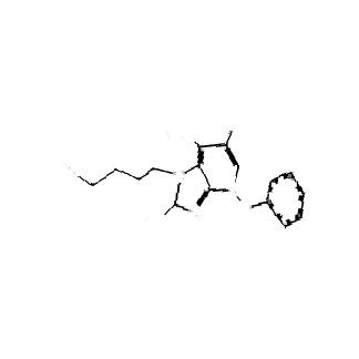 CC1=CN(Oc2ccccc2)C2=NC(C)N(CCCCN)C2=C1C